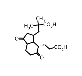 CC(C)(CC1CC(=O)C2CCC(=O)[C@@H](CCC(=O)O)C12)C(=O)O